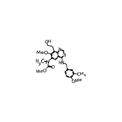 COC(=O)N(C)c1cc2c(NCc3ccc(OC)c(C)c3)ncnc2c(CCO)c1OC